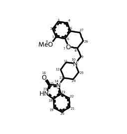 COc1cccc2c1OC(CN1CCC(n3c(=O)[nH]c4ccccc43)CC1)CC2